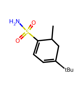 CC1CC(C(C)(C)C)=CC=C1S(N)(=O)=O